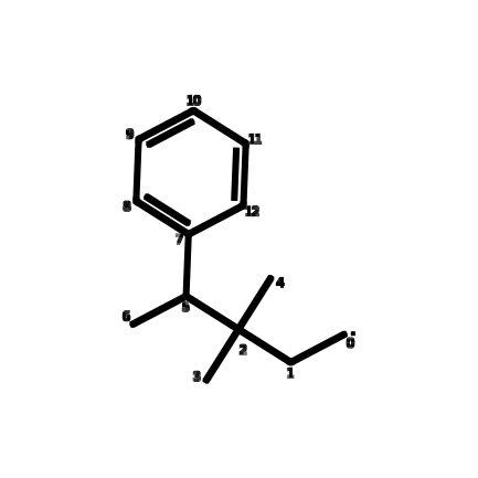 [CH2]CC(C)(C)C(C)c1ccccc1